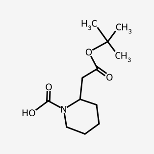 CC(C)(C)OC(=O)CC1CCCCN1C(=O)O